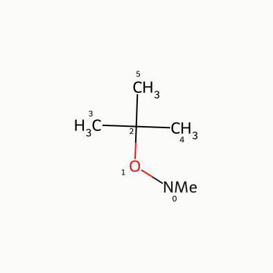 [CH2]NOC(C)(C)C